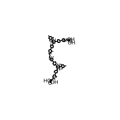 Cc1cc(C)c(-c2nc(-c3ccc(-c4cc[n+](CCC[n+]5ccc(-c6ccc(-c7cc(-c8ccc(-c9cc[n+](CCP(=O)(O)O)cc9)cc8)nc(-c8c(C)cc(C)cc8C)n7)cc6)cc5)cc4)cc3)cc(-c3ccc(-c4cc[n+](CCP(=O)(O)O)cc4)cc3)n2)c(C)c1